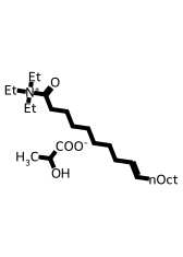 CC(O)C(=O)[O-].CCCCCCCCC=CCCCCCCCC(=O)[N+](CC)(CC)CC